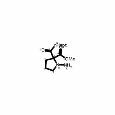 CCCCCCCC(=O)C1(C(=O)OC)CCCN1N